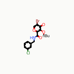 CCCCOc1c(C(=O)NCc2cccc(Cl)c2)occ(Br)c1=O